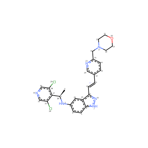 C[C@@H](Nc1ccc2[nH]nc(/C=C/c3ccc(CN4CCOCC4)nc3)c2c1)c1c(Cl)cncc1Cl